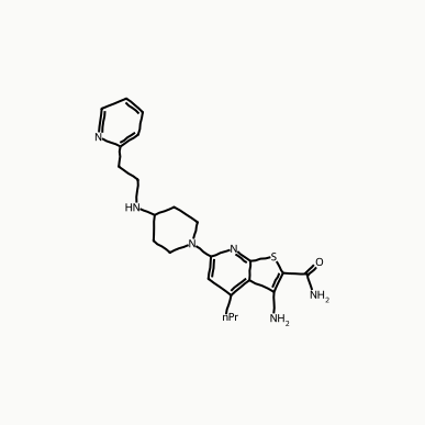 CCCc1cc(N2CCC(NCCc3ccccn3)CC2)nc2sc(C(N)=O)c(N)c12